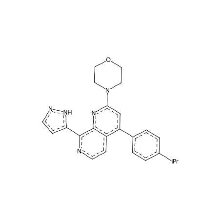 CC(C)c1ccc(-c2cc(N3CCOCC3)nc3c(-c4ccn[nH]4)nccc23)cc1